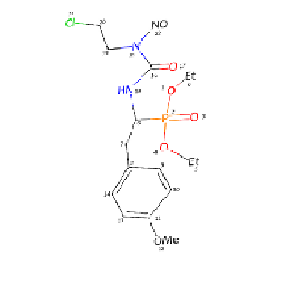 CCOP(=O)(OCC)C(Cc1ccc(OC)cc1)NC(=O)N(CCCl)N=O